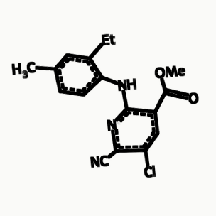 CCc1cc(C)ccc1Nc1nc(C#N)c(Cl)cc1C(=O)OC